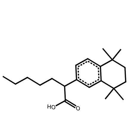 CCCCCC(C(=O)O)c1ccc2c(c1)C(C)(C)CCC2(C)C